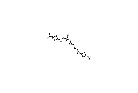 COC1CC(OCCCOCC(F)(F)COC2CN(C(C)C)C2)C1